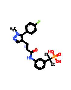 CCC(CC)(c1cccc(NC(=O)/C=C/c2cnn(C)c2-c2ccc(F)cc2)c1)P(=O)(O)O